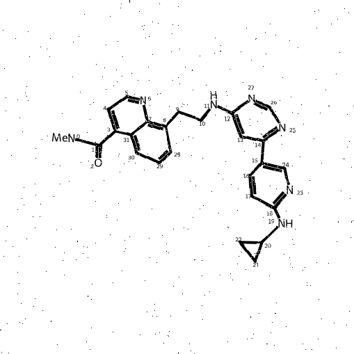 CNC(=O)c1ccnc2c(CCNc3cc(-c4ccc(NC5CC5)nc4)ncn3)cccc12